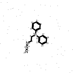 [N-]=[N+]=NCCP(c1ccccc1)c1ccccc1